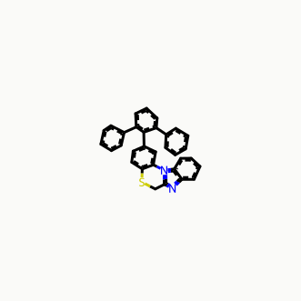 c1ccc(-c2cccc(-c3ccccc3)c2-c2ccc3c(c2)-n2c(nc4ccccc42)CS3)cc1